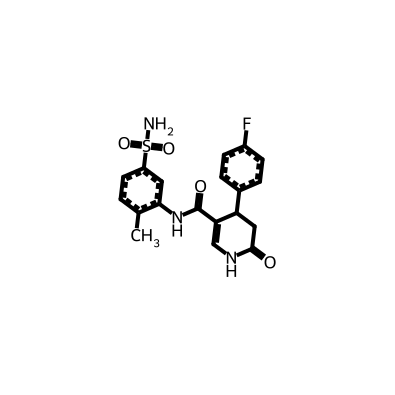 Cc1ccc(S(N)(=O)=O)cc1NC(=O)C1=CNC(=O)CC1c1ccc(F)cc1